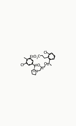 CCOC(=O)CCc1c(Cl)cccc1[C@@H](C)OC[C@H](O)CN1CCC[C@H]1Cc1ccc(C)c(Cl)c1